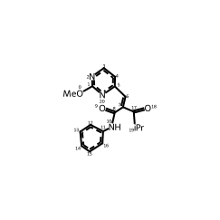 COc1nccc(/C=C(\C(=O)Nc2ccccc2)C(=O)C(C)C)n1